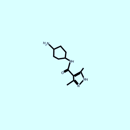 Cc1n[nH]c(C)c1C(=O)NC1CCC(N)CC1